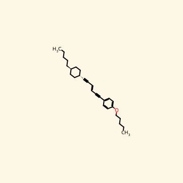 CCCCCOc1ccc(C#C/C=C/C#C[C@H]2CC[C@H](CCCCC)CC2)cc1